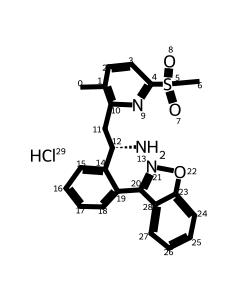 Cc1ccc(S(C)(=O)=O)nc1C[C@H](N)c1ccccc1-c1noc2ccccc12.Cl